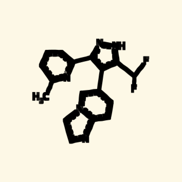 Cc1cccc(-c2n[nH]c(C(F)F)c2-c2ccc3nccn3c2)n1